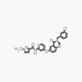 Cn1ccc(C(=O)Nc2cc(Oc3ccc4ncn(Cc5cccc(Cl)c5)c(=O)c4c3)ccn2)n1